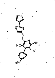 CCCc1ccc(-c2c(C#N)c(N)nc(SCc3csc(-c4ccsc4)n3)c2C#N)cc1